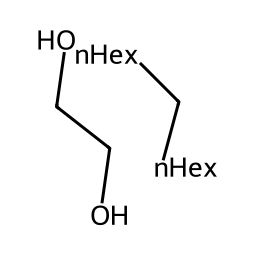 CCCCCCCCCCCCC.OCCO